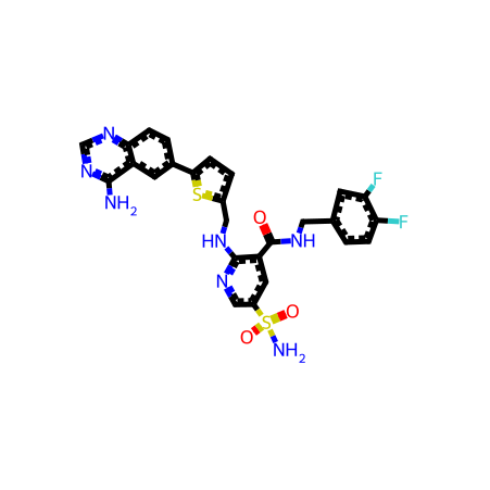 Nc1ncnc2ccc(-c3ccc(CNc4ncc(S(N)(=O)=O)cc4C(=O)NCc4ccc(F)c(F)c4)s3)cc12